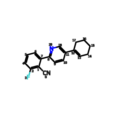 N#Cc1c(F)cccc1-c1ccc(C2=CCCCC2)cn1